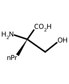 CCC[C@](N)(CO)C(=O)O